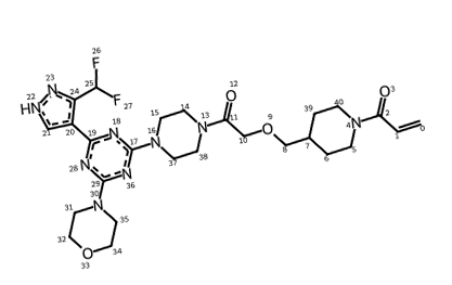 C=CC(=O)N1CCC(COCC(=O)N2CCN(c3nc(-c4c[nH]nc4C(F)F)nc(N4CCOCC4)n3)CC2)CC1